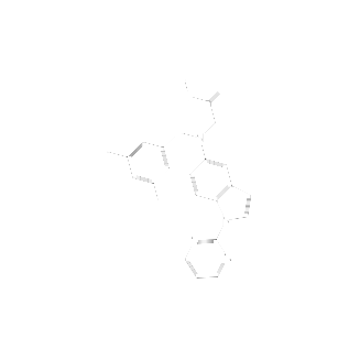 CC(C)(C)OC(=O)CN(Sc1cc(Cl)cc(Cl)c1)c1ccc2c(ccn2-c2ncccn2)c1